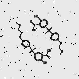 COCCOc1ccc(C(C)(C)c2ccc(O)c(C(=O)O)c2)cc1.COCOc1ccc(C(C)(C)c2ccc(O)c(C(=O)O)c2)cc1